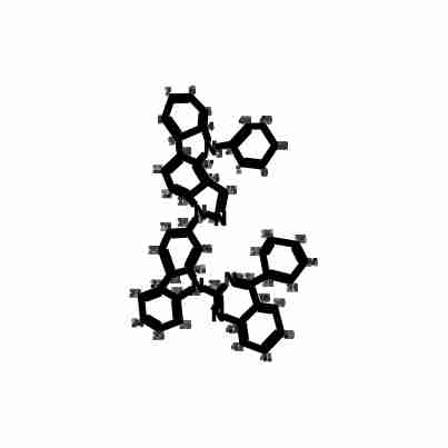 C1=CC(n2c3ccccc3c3ccc4c(cnn4-c4ccc5c6ccccc6n(-c6nc(-c7ccccc7)c7ccccc7n6)c5c4)c32)=CCC1